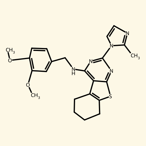 COc1ccc(CNc2nc(-n3ccnc3C)nc3sc4c(c23)CCCC4)cc1OC